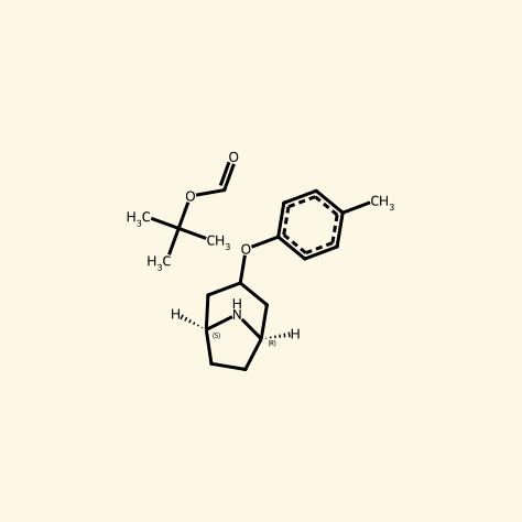 CC(C)(C)OC=O.Cc1ccc(OC2C[C@H]3CC[C@@H](C2)N3)cc1